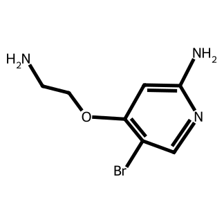 NCCOc1cc(N)ncc1Br